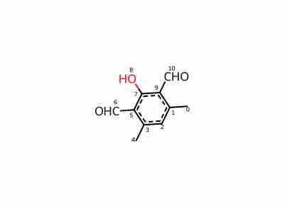 Cc1cc(C)c(C=O)c(O)c1C=O